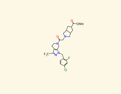 COC(=O)C1CC2CN(CC(=O)N3CCc4c(C(F)(F)F)nn(Cc5ccc(Cl)cc5F)c4C3)CC2C1